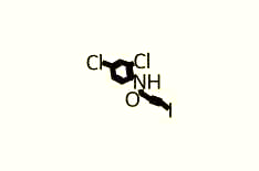 O=C(C#CI)Nc1ccc(Cl)cc1Cl